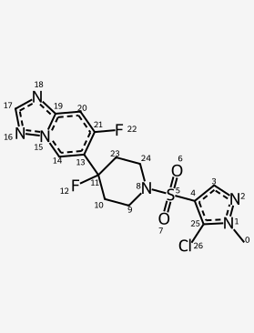 Cn1ncc(S(=O)(=O)N2CCC(F)(c3cn4ncnc4cc3F)CC2)c1Cl